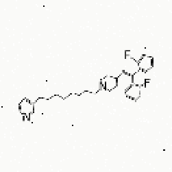 Fc1ccccc1C(=CC1CCN(CCCCCCCCc2cccnc2)CC1)c1ccccc1F